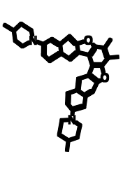 Cc1c(C)c2oc3cc4cc(N5CCC(C)CC5)ccc4cc3c2c2c1oc1cc3cc(N4CCC(C)CC4)ccc3cc12